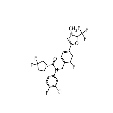 CN1N=C(C2=CC=C(CN(C(=O)N3CCC(F)(F)C3)c3ccc(F)c(Cl)c3)C(F)C2)OC1C(F)(F)F